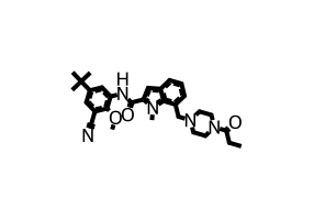 CCC(=O)N1CCN(Cc2cccc3cc(C(=O)Nc4cc(C(C)(C)C)cc(C#N)c4OC)n(C)c23)CC1